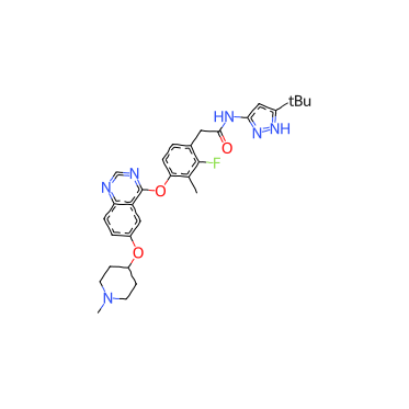 Cc1c(Oc2ncnc3ccc(OC4CCN(C)CC4)cc23)ccc(CC(=O)Nc2cc(C(C)(C)C)[nH]n2)c1F